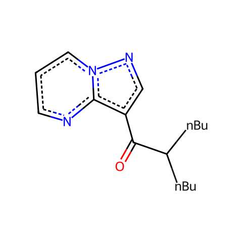 CCCCC(CCCC)C(=O)c1cnn2cccnc12